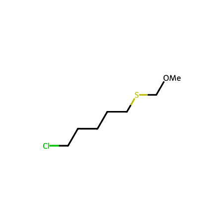 COCSCCCCCCl